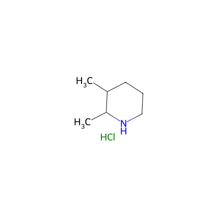 CC1CCCNC1C.Cl